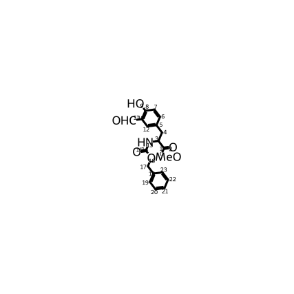 COC(=O)C(Cc1ccc(O)c(C=O)c1)NC(=O)OCc1ccccc1